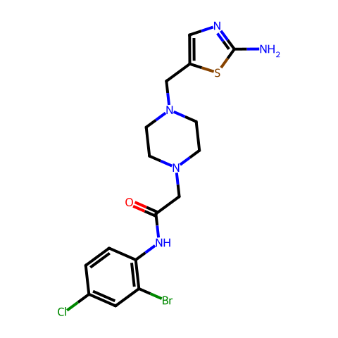 Nc1ncc(CN2CCN(CC(=O)Nc3ccc(Cl)cc3Br)CC2)s1